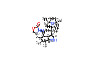 [2H]c1c(C[C@H]2COC(=O)N2)c([2H])c2c(C([2H])([2H])C([2H])([2H])N(C([2H])([2H])[2H])C([2H])([2H])[2H])c[nH]c2c1[2H]